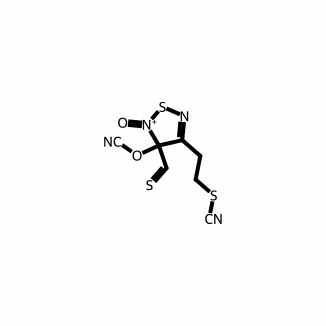 N#COC1(C=S)C(CCSC#N)=NS[N+]1=O